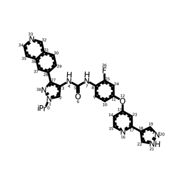 CC(C)n1cc(NC(=O)Nc2ccc(Oc3ccnc(-c4cn[nH]c4)c3)cc2F)c(-c2ccc3cnccc3c2)n1